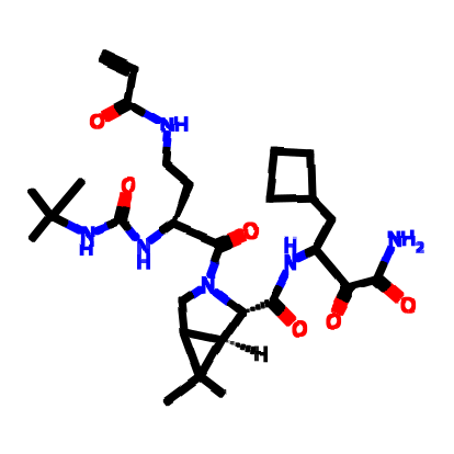 C=CC(=O)NCC[C@H](NC(=O)NC(C)(C)C)C(=O)N1CC2[C@@H]([C@H]1C(=O)NC(CC1CCC1)C(=O)C(N)=O)C2(C)C